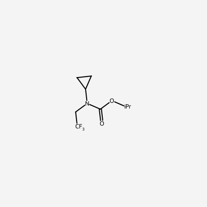 CC(C)OC(=O)N(CC(F)(F)F)C1CC1